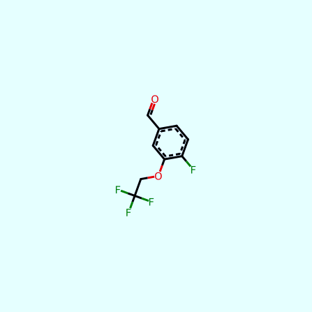 O=Cc1ccc(F)c(OCC(F)(F)F)c1